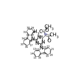 CO/C(C)=C(\C(C)=O)c1nc(-n2c3ccccc3c3ccccc32)nc(-n2c3ccccc3c3ccccc32)n1